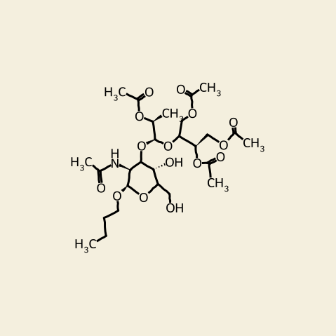 CCCCO[C@@H]1OC(CO)[C@@H](O)C(O[C@H](OC(COC(C)=O)[C@@H](COC(C)=O)OC(C)=O)[C@H](C)OC(C)=O)[C@@H]1NC(C)=O